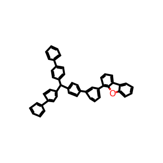 c1ccc(-c2ccc(C(c3ccc(-c4ccccc4)cc3)c3ccc(-c4cccc(-c5cccc6c5oc5ccccc56)c4)cc3)cc2)cc1